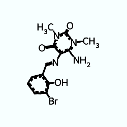 Cn1c(N)c(/N=C/c2cccc(Br)c2O)c(=O)n(C)c1=O